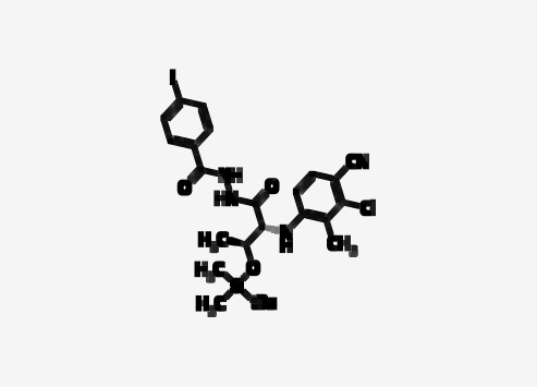 Cc1c(N[C@@H](C(=O)NNC(=O)c2ccc(I)cc2)[C@H](C)O[Si](C)(C)C(C)(C)C)ccc(C#N)c1Cl